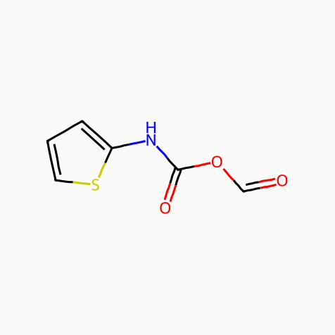 O=COC(=O)Nc1cccs1